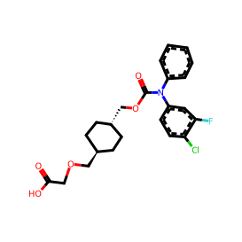 O=C(O)COC[C@H]1CC[C@H](COC(=O)N(c2ccccc2)c2ccc(Cl)c(F)c2)CC1